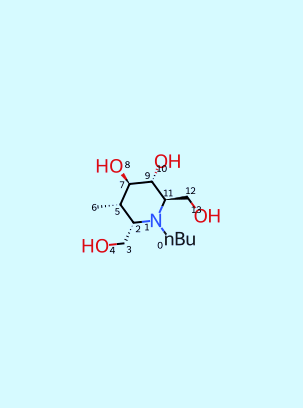 CCCCN1[C@H](CO)[C@H](C)[C@@H](O)[C@H](O)[C@H]1CO